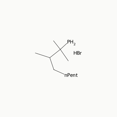 Br.CCCCCCC(C)C(C)(C)P